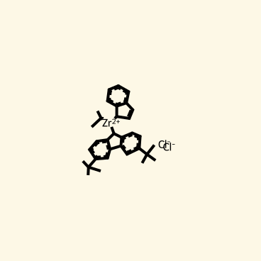 C[C](C)=[Zr+2]([CH]1C=Cc2ccccc21)[CH]1c2ccc(C(C)(C)C)cc2-c2cc(C(C)(C)C)ccc21.[Cl-].[Cl-]